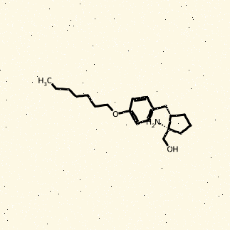 CCCCCCCOc1ccc(C[C@H]2CCC[C@@]2(N)CO)cc1